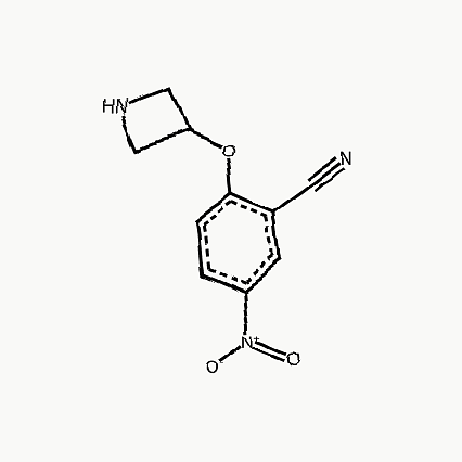 N#Cc1cc([N+](=O)[O-])ccc1OC1CNC1